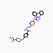 CN(CCN1CCC(OC(=O)NNc2ccccc2-c2ccccc2)CC1)C(=O)c1ccc(CN2CCC(C(N)=O)CC2)cc1